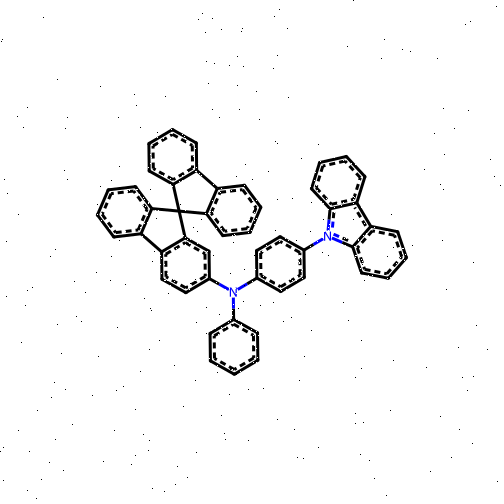 c1ccc(N(c2ccc(-n3c4ccccc4c4ccccc43)cc2)c2ccc3c(c2)C2(c4ccccc4-c4ccccc42)c2ccccc2-3)cc1